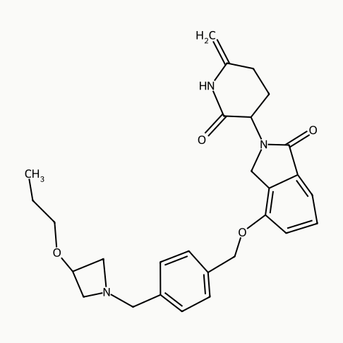 C=C1CCC(N2Cc3c(OCc4ccc(CN5CC(OCCC)C5)cc4)cccc3C2=O)C(=O)N1